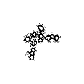 CC1(C)c2ccccc2-c2ccc(-c3nc(-c4ccccc4)nc(-c4cccc5oc6ccc(-c7ccc(-c8ccc9c(c8)sc8ccccc89)c8sc9ccccc9c78)cc6c45)n3)cc21